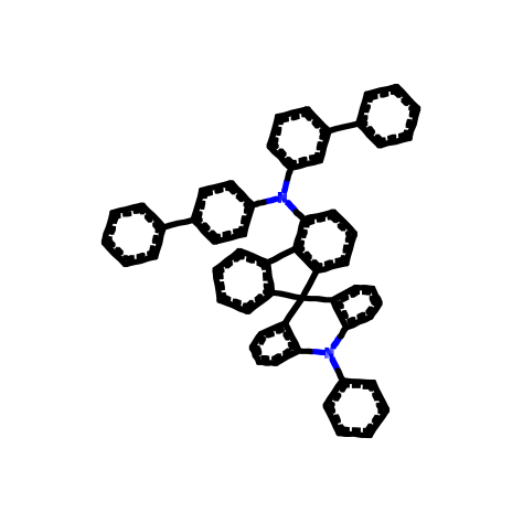 c1ccc(-c2ccc(N(c3cccc(-c4ccccc4)c3)c3cccc4c3-c3ccccc3C43c4ccccc4N(c4ccccc4)c4ccccc43)cc2)cc1